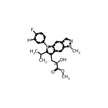 COC(=O)[C@H](O)Cc1c(C(C)C)n(-c2ccc(F)c(F)c2)c2cc3cnn(C)c3cc12